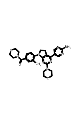 Cc1cc(C(=O)N2CCOCC2)ccc1N1CCc2c(-c3cnc(N)nc3)nc(N3CCOCC3)nc21